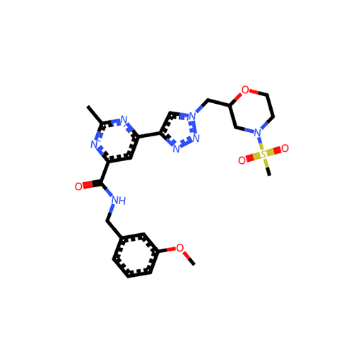 COc1cccc(CNC(=O)c2cc(-c3cn(CC4CN(S(C)(=O)=O)CCO4)nn3)nc(C)n2)c1